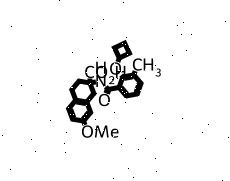 COc1ccc2c(c1)CC(NC(=O)c1cccc(C)c1OC1CCC1)(C(=O)O)CC2